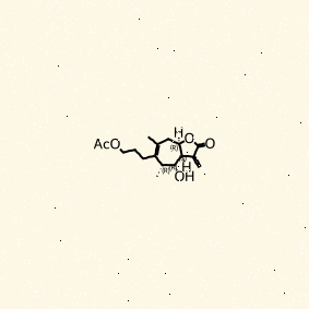 C=C1C(=O)O[C@@H]2CC(C)=C(CCCOC(C)=O)[C@@H](C)[C@@H](O)[C@H]12